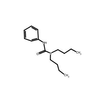 CCCCN(CCCC)C(=O)Nc1ccccc1